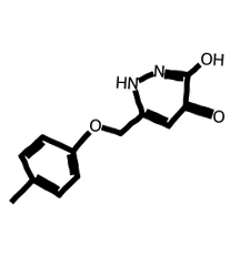 Cc1ccc(OCc2cc(=O)c(O)n[nH]2)cc1